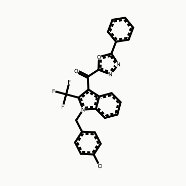 O=C(c1nnc(-c2ccccc2)o1)c1c(C(F)(F)F)n(Cc2ccc(Cl)cc2)c2ccccc12